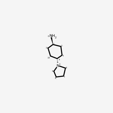 N[C@H]1CC[C@H](N2CCCC2)CC1